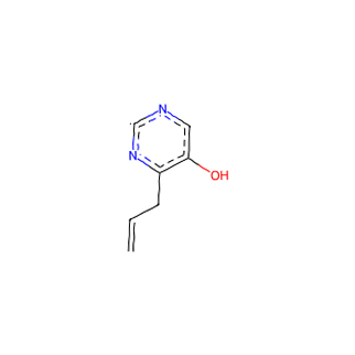 C=CCc1n[c]ncc1O